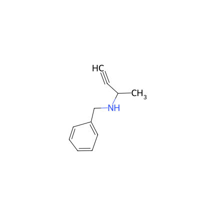 C#CC(C)NCc1ccccc1